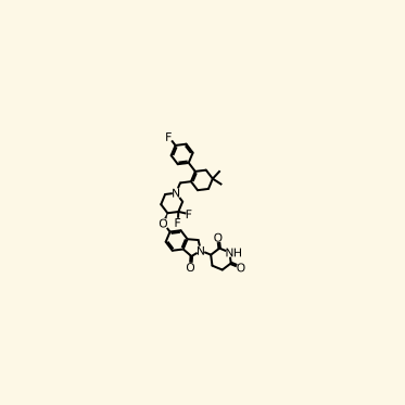 CC1(C)CCC(CN2CC[C@H](Oc3ccc4c(c3)CN(C3CCC(=O)NC3=O)C4=O)C(F)(F)C2)=C(c2ccc(F)cc2)C1